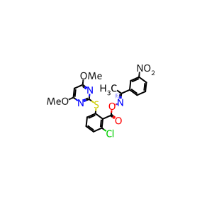 COc1cc(OC)nc(Sc2cccc(Cl)c2C(=O)O/N=C(\C)c2cccc([N+](=O)[O-])c2)n1